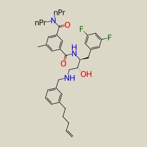 C=CCCCc1cccc(CNC[C@@H](O)[C@H](Cc2cc(F)cc(F)c2)NC(=O)c2cc(C)cc(C(=O)N(CCC)CCC)c2)c1